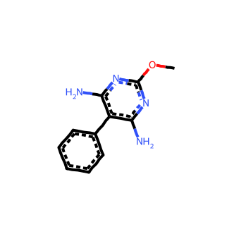 COc1nc(N)c(-c2ccccc2)c(N)n1